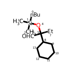 CCCC[Si](C)(C)OC(C=O)(CC)C1CCCCC1